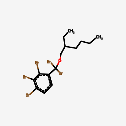 CCCCC(CC)COC(Br)(Br)c1ccc(Br)c(Br)c1Br